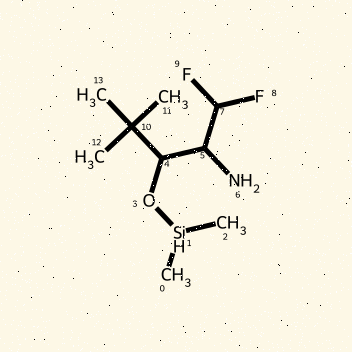 C[SiH](C)OC(C(N)C(F)F)C(C)(C)C